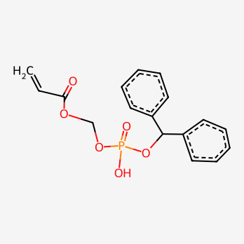 C=CC(=O)OCOP(=O)(O)OC(c1ccccc1)c1ccccc1